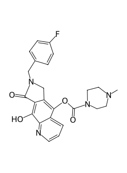 CN1CCN(C(=O)Oc2c3c(c(O)c4ncccc24)C(=O)N(Cc2ccc(F)cc2)C3)CC1